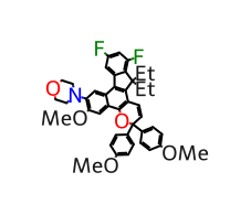 CCC1(CC)c2c(F)cc(F)cc2-c2c1c1c(c3cc(OC)c(N4CCOCC4)cc23)OC(c2ccc(OC)cc2)(c2ccc(OC)cc2)C=C1